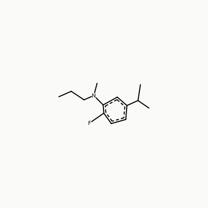 CCCN(C)c1cc(C(C)C)ccc1F